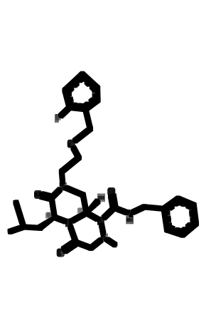 CC(C)C[C@H]1C(=O)N(CCOCc2ccccc2F)C[C@H]2N1C(=O)CN(C)N2C(=O)NCc1ccccc1